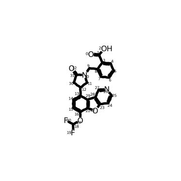 O=C(O)c1ccccc1CN1CC(C2=C=C=C(OC(F)F)c3oc4ccncc4c32)CC1=O